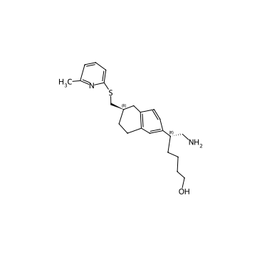 Cc1cccc(SC[C@@H]2CCc3cc([C@H](CN)CCCCO)ccc3C2)n1